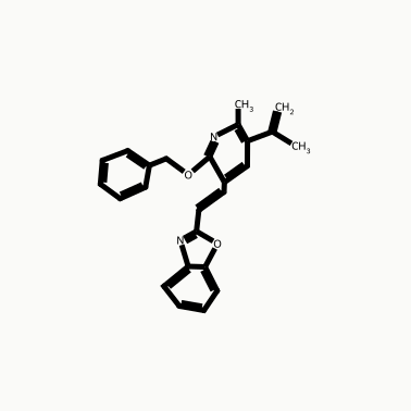 C=C(C)c1cc(/C=C/c2nc3ccccc3o2)c(OCc2ccccc2)nc1C